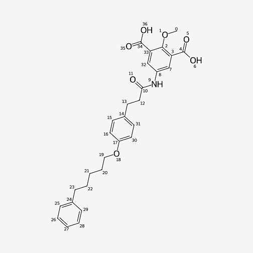 COc1c(C(=O)O)cc(NC(=O)CCc2ccc(OCCCCCc3ccccc3)cc2)cc1C(=O)O